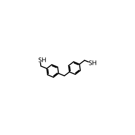 SCc1ccc(Cc2ccc(CS)cc2)cc1